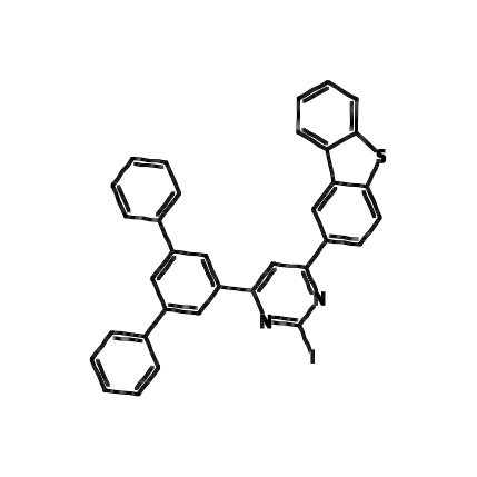 Ic1nc(-c2cc(-c3ccccc3)cc(-c3ccccc3)c2)cc(-c2ccc3sc4ccccc4c3c2)n1